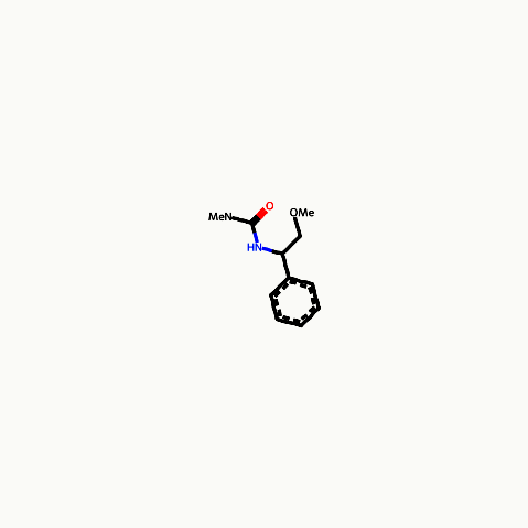 CNC(=O)NC(COC)c1ccccc1